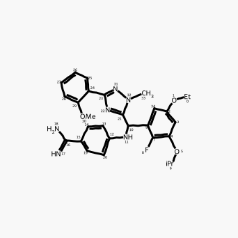 CCOc1cc(OC(C)C)c(F)c(C(Nc2ccc(C(=N)N)cc2)c2nc(-c3ccccc3OC)nn2C)c1